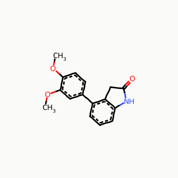 COc1ccc(-c2cccc3c2CC(=O)N3)cc1OC